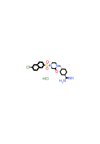 Cl.N=C(N)[C@H]1CC[C@H](CN2CCN(S(=O)(=O)c3ccc4cc(Cl)ccc4c3)CC2=O)CC1